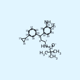 CC(C)(C)[S+]([O-])NCCC(c1cccc(C2CC2)c1)c1ccc(F)c(N)c1